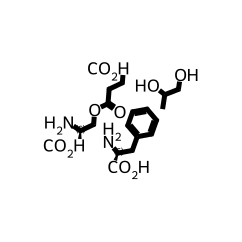 CC(O)CO.N[C@@H](COC(=O)CCC(=O)O)C(=O)O.N[C@@H](Cc1ccccc1)C(=O)O